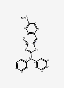 COc1ccc(/C=C2/SC(N(c3ccccc3)c3ccccc3)=NC2=O)cc1